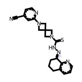 N#Cc1ccnc(N2CC3(CN(C(=S)N/N=C4\CCCc5cccnc54)C3)C2)c1